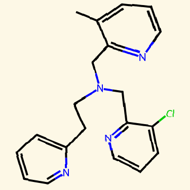 Cc1cccnc1CN(CCc1ccccn1)Cc1ncccc1Cl